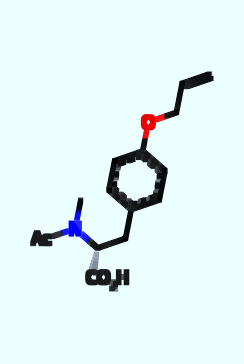 C=CCOc1ccc(C[C@H](C(=O)O)N(C)C(C)=O)cc1